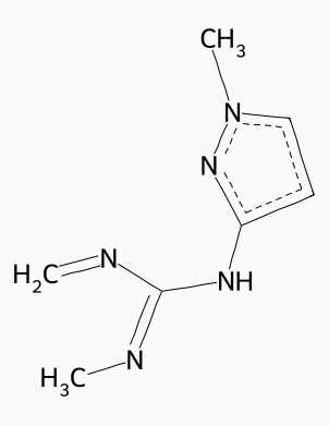 C=N/C(=N\C)Nc1ccn(C)n1